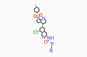 Cc1ccc(S(=O)(=O)n2ccc3c(-c4cc(Cl)c5cnc(NC(=O)[C@@H]6C[C@H]6C#N)cc5c4)ccnc32)cc1